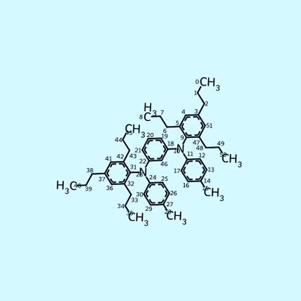 CCCc1cc(CCC)c(N(c2ccc(C)cc2)c2cccc(N(c3ccc(C)cc3)c3c(CCC)cc(CCC)cc3CCC)c2)c(CCC)c1